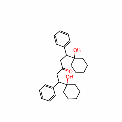 O=C(CC(c1ccccc1)C1(O)CCCCC1)CC(c1ccccc1)C1(O)CCCCC1